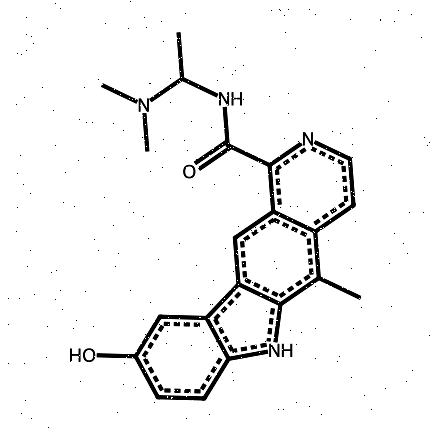 Cc1c2ccnc(C(=O)NC(C)N(C)C)c2cc2c1[nH]c1ccc(O)cc12